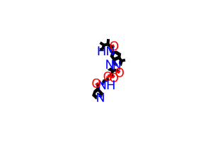 CCC(C)C(C)C(=O)Nc1ccc2c(C)cn3c(=O)c(C(=O)OCCNC(=O)c4cccnc4)cnc3c2c1